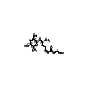 CCC(C)COC(=O)/C=C\CC[C@@H](C)O[C@@H]1O[C@@H](C)[C@H](O)C[C@H]1O